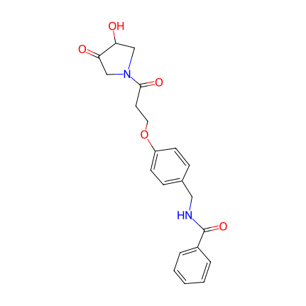 O=C(NCc1ccc(OCCC(=O)N2CC(=O)C(O)C2)cc1)c1ccccc1